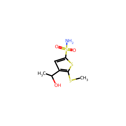 CSc1sc(S(N)(=O)=O)cc1C(C)O